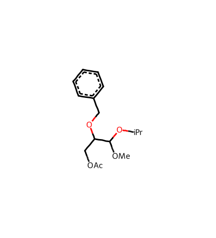 COC(OC(C)C)C(COC(C)=O)OCc1ccccc1